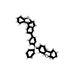 c1ccc(N(c2ccc(-c3ccc4c(ccc5sc6ccccc6c54)c3)cc2)c2ccc3c(c2)oc2ccccc23)cc1